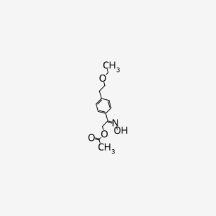 CCOCCc1ccc(C(COC(C)=O)=NO)cc1